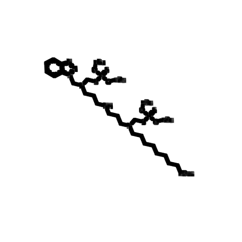 CCCCCCCCCCCCCCCCCCN(CCCNCCCN(CSP(=S)(OCCCC)OCCCC)Cn1nnc2ccccc21)CSP(=S)(OCCCC)OCCCC